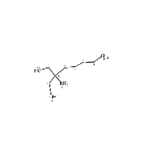 CCCCCC(N)(CO)CO